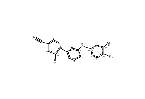 N#Cc1ccc(-c2cccc(Oc3ccc(F)c(O)c3)n2)c(F)c1